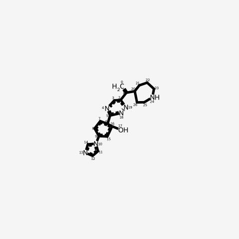 C=C(c1cnc(-c2ccc(-n3ccnc3)cc2O)nn1)C1CCCNCC1